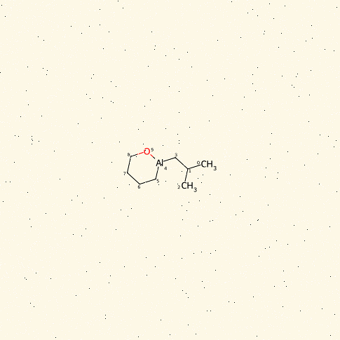 CC(C)[CH2][Al]1[CH2]CCC[O]1